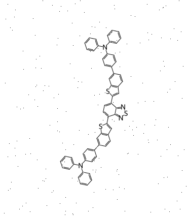 c1ccc(N(c2ccccc2)c2ccc(-c3ccc4cc(-c5ccc(-c6cc7ccc(-c8ccc(N(c9ccccc9)c9ccccc9)cc8)cc7s6)c6nsnc56)sc4c3)cc2)cc1